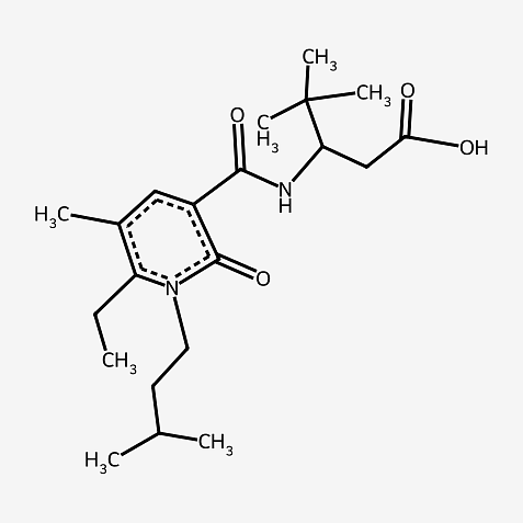 CCc1c(C)cc(C(=O)NC(CC(=O)O)C(C)(C)C)c(=O)n1CCC(C)C